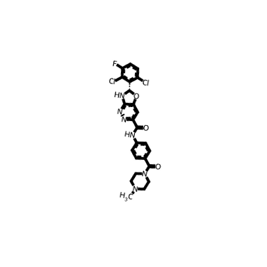 CN1CCN(C(=O)c2ccc(NC(=O)c3cc4c(nn3)N[C@H](c3c(Cl)ccc(F)c3Cl)O4)cc2)CC1